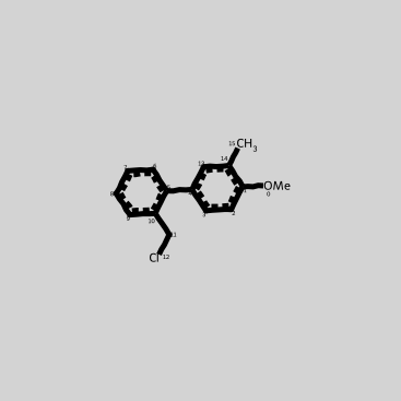 COc1ccc(-c2ccccc2CCl)cc1C